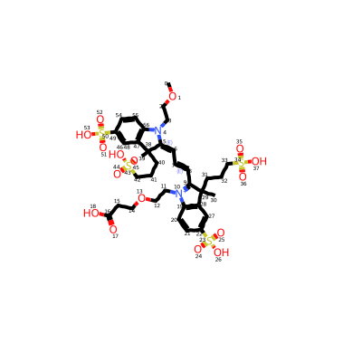 COCCN1/C(=C/C=C/C2=[N+](CCOCCC(=O)O)c3ccc(S(=O)(=O)O)cc3C2(C)CCCS(=O)(=O)O)C(C)(CCCS(=O)(=O)O)c2cc(S(=O)(=O)O)ccc21